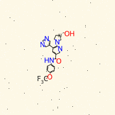 O=C(Nc1ccc(OC(F)(F)F)cc1)c1cnc(N2CC[C@H](CO)C2)c(-c2cncnc2)c1